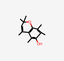 CC1=CC(C)(C)Oc2c(C)c(C)c(O)c(C)c21